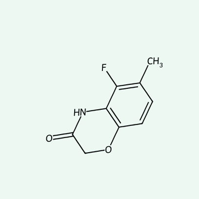 Cc1ccc2c(c1F)NC(=O)CO2